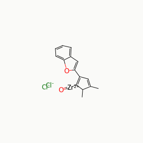 CC1=CC(c2cc3ccccc3o2)=[C]([Zr+2]=[O])C1C.[Cl-].[Cl-]